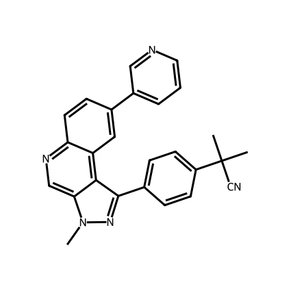 Cn1nc(-c2ccc(C(C)(C)C#N)cc2)c2c3cc(-c4cccnc4)ccc3ncc21